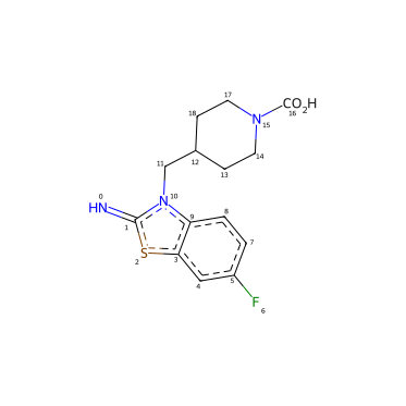 N=c1sc2cc(F)ccc2n1CC1CCN(C(=O)O)CC1